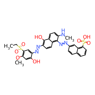 CCS(=O)(=O)c1cc(/N=N/c2ccc3c(/N=N/c4ccc5cccc(S(=O)(=O)O)c5c4)c(NC)ccc3c2O)c(O)cc1OC